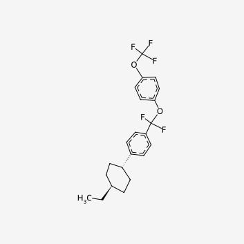 CC[C@H]1CC[C@H](c2ccc(C(F)(F)Oc3ccc(OC(F)(F)F)cc3)cc2)CC1